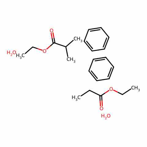 CCOC(=O)C(C)C.CCOC(=O)CC.O.O.c1ccccc1.c1ccccc1